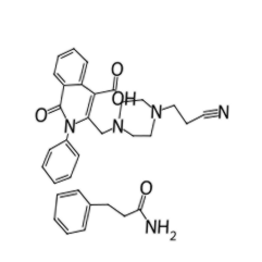 N#CCCN1CCN(Cc2c(C(=O)O)c3ccccc3c(=O)n2-c2ccccc2)CC1.NC(=O)CCc1ccccc1